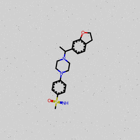 CC(c1ccc2c(c1)OCC2)N1CCN(c2ccc(S(C)(=N)=O)cc2)CC1